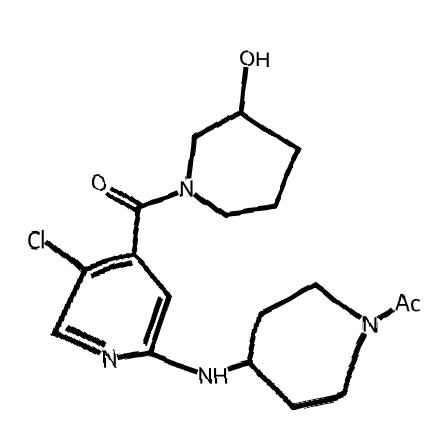 CC(=O)N1CCC(Nc2cc(C(=O)N3CCCC(O)C3)c(Cl)cn2)CC1